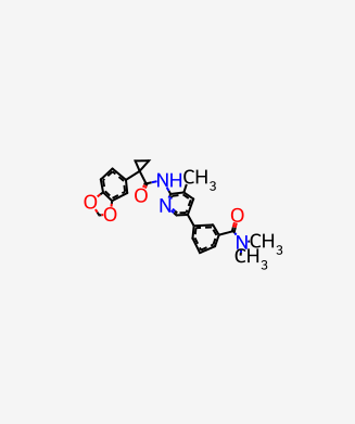 Cc1cc(-c2cccc(C(=O)N(C)C)c2)cnc1NC(=O)C1(c2ccc3c(c2)OCO3)CC1